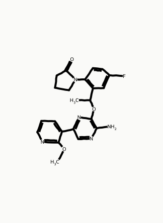 COc1ncccc1-c1cnc(N)c(OC(C)c2cc(F)ccc2N2CCCC2=O)n1